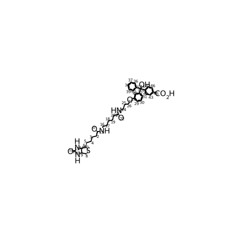 O=C(CCCC[C@H]1SCC2NC(=O)NC21)NCCCCCC(=O)NCCCOc1cccc(C(O)(c2ccccc2)c2ccc(C(=O)O)cc2)c1